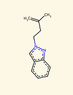 C=C(C)CCn1cc2ccccc2n1